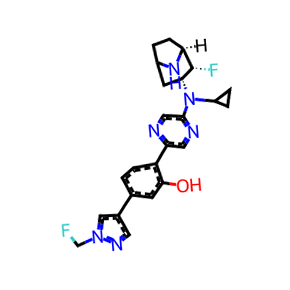 Oc1cc(-c2cnn(CF)c2)ccc1-c1cnc(N(C2CC2)[C@@H]2CC3CC[C@H](N3)[C@@H]2F)cn1